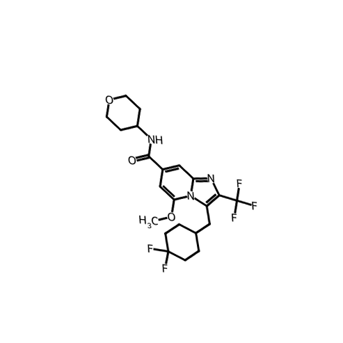 COc1cc(C(=O)NC2CCOCC2)cc2nc(C(F)(F)F)c(CC3CCC(F)(F)CC3)n12